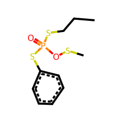 CCCSP(=O)(OSC)Sc1ccccc1